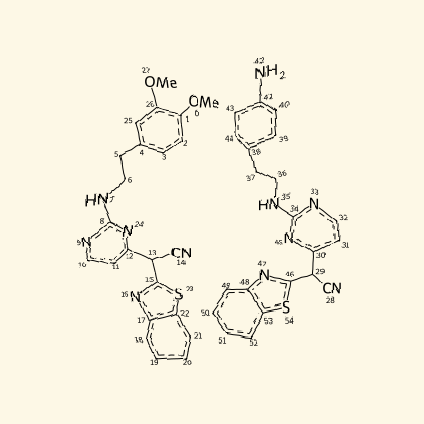 COc1ccc(CCNc2nccc(C(C#N)c3nc4ccccc4s3)n2)cc1OC.N#CC(c1ccnc(NCCc2ccc(N)cc2)n1)c1nc2ccccc2s1